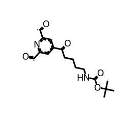 CC(C)(C)OC(=O)NCCCCC(=O)c1cc([C]=O)nc([C]=O)c1